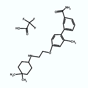 Cc1cc(OCCNC2CCC(C)(C)CC2)ccc1-c1cccc(C(N)=O)c1.O=C(O)C(F)(F)F